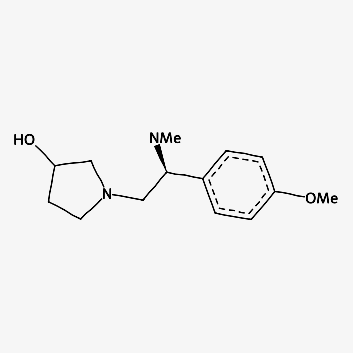 CN[C@H](CN1CCC(O)C1)c1ccc(OC)cc1